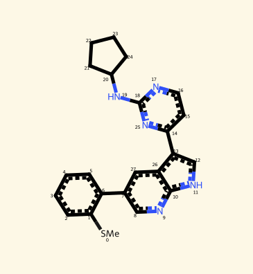 CSc1ccccc1-c1cnc2[nH]cc(-c3ccnc(NC4CCCC4)n3)c2c1